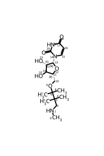 CNCC(C)(C)C(C)(C)OC[C@H]1O[C@@H](n2ccc(=O)[nH]c2=O)[C@@H](O)C1O